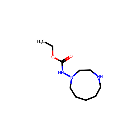 CCOC(=O)NN1CCCCCNCC1